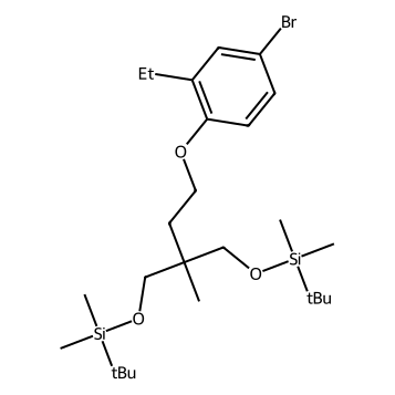 CCc1cc(Br)ccc1OCCC(C)(CO[Si](C)(C)C(C)(C)C)CO[Si](C)(C)C(C)(C)C